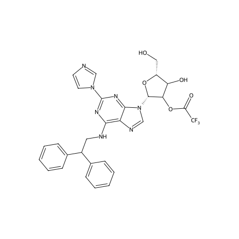 O=C(OC1C(O)[C@@H](CO)O[C@H]1n1cnc2c(NCC(c3ccccc3)c3ccccc3)nc(-n3ccnc3)nc21)C(F)(F)F